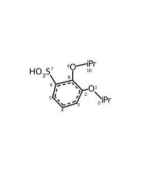 CC(C)Oc1cccc(S(=O)(=O)O)c1OC(C)C